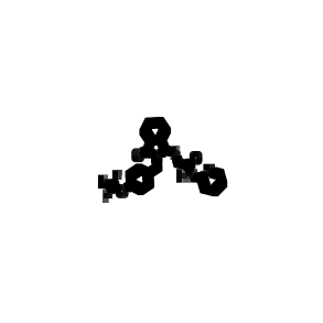 O=C(CSC1c2ccccc2C(=O)N1Cc1ccc(OC(F)(F)F)cc1)Nc1ccccn1